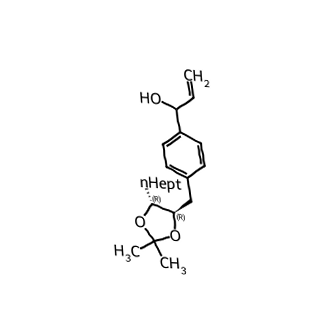 C=CC(O)c1ccc(C[C@H]2OC(C)(C)O[C@@H]2CCCCCCC)cc1